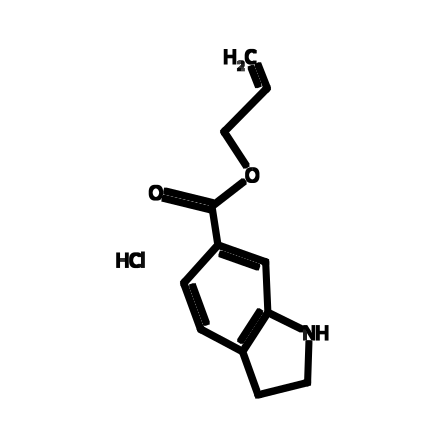 C=CCOC(=O)c1ccc2c(c1)NCC2.Cl